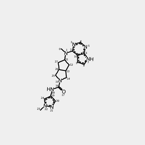 CN(c1ncnc2[nH]ccc12)C1CC2CN(C(=O)Nc3cnn(C)c3)CC2C1